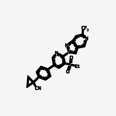 CCS(=O)(=O)c1cc(-c2ccc(C3(C#N)CC3)cc2)cnc1-n1cc2cnc(C(F)(F)F)cc2n1